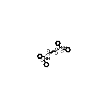 O=C(/C=C/C(=O)OC[C@H](NC(=O)C1CCCCC1)c1ccccc1)OC[C@H](NC(=O)C1CCCCC1)c1ccccc1